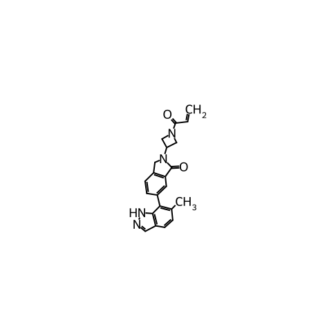 C=CC(=O)N1CC(N2Cc3ccc(-c4c(C)ccc5cn[nH]c45)cc3C2=O)C1